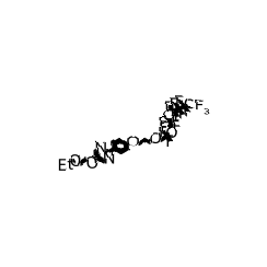 CCOCCOc1cnc(-c2ccc(OCCCOCC(F)(F)OC(F)(F)C(F)(F)OC(F)(F)C(F)(F)C(F)(F)C(F)(F)F)cc2)nc1